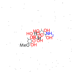 COC1CC(C)[C@H](O)C(OC2O[C@H](CO)[C@@H]3OC4(O[C@@H]3C2O)O[C@H](C(N)CO)[C@H](O)C(C)C4O)[C@@H]1O